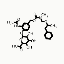 CC(=O)Nc1cc(COC(=O)N(C)COC(C)Cc2ccccc2)ccc1OC1OC(C(=O)O)C(O)[C@H](O)[C@@H]1O